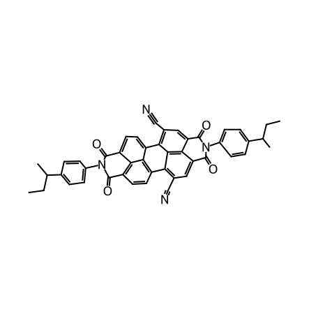 CCC(C)c1ccc(N2C(=O)c3ccc4c5c(C#N)cc6c7c(cc(C#N)c(c8ccc(c3c48)C2=O)c75)C(=O)N(c2ccc(C(C)CC)cc2)C6=O)cc1